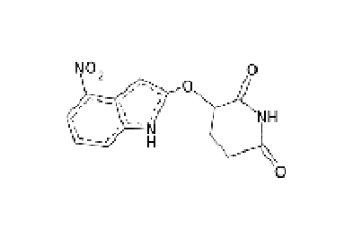 O=C1CCC(Oc2cc3c([N+](=O)[O-])cccc3[nH]2)C(=O)N1